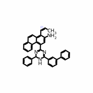 C/C=C\c1c(N)cc(C2=NC(c3ccccc3)NC(c3cccc(-c4ccccc4)c3)=N2)c2c1ccc1ccccc12